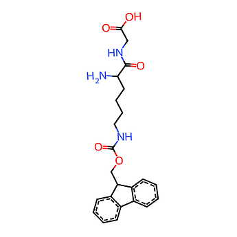 NC(CCCCNC(=O)OCC1c2ccccc2-c2ccccc21)C(=O)NCC(=O)O